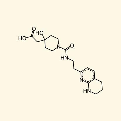 O=C(O)CC1(O)CCN(C(=O)NCCc2ccc3c(n2)NCCC3)CC1